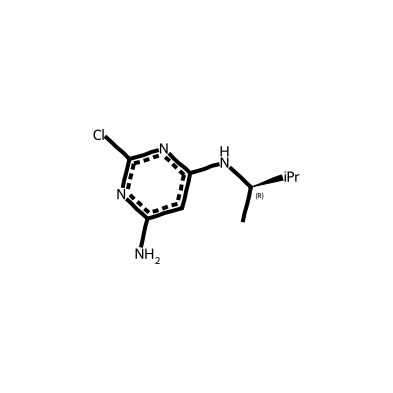 CC(C)[C@@H](C)Nc1cc(N)nc(Cl)n1